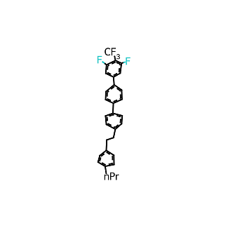 CCCc1ccc(CCc2ccc(-c3ccc(-c4cc(F)c(C(F)(F)F)c(F)c4)cc3)cc2)cc1